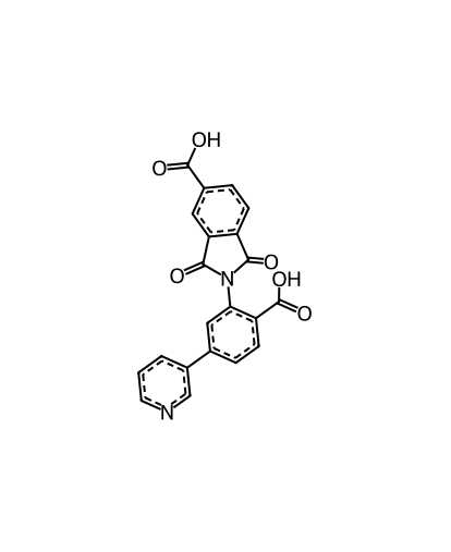 O=C(O)c1ccc2c(c1)C(=O)N(c1cc(-c3cccnc3)ccc1C(=O)O)C2=O